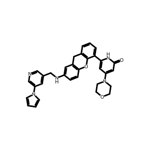 O=c1cc(N2CCOCC2)cc(-c2cccc3c2Oc2ccc(NCc4cncc(-n5cccc5)c4)cc2C3)[nH]1